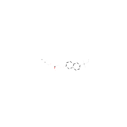 CCC(C)(C)c1ccc2cc(OCC(=O)OCC(F)(F)C(F)(F)F)ccc2c1